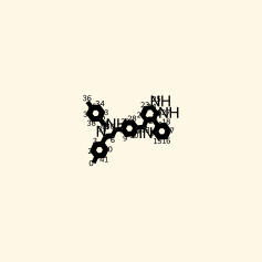 Cc1ccc(C2=CC(c3ccc(C4Nc5ccccc5C5=C4C=CC(=N)C5=N)cc3)NC(c3ccc(C)cc3)=N2)cc1